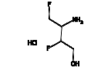 Cl.NC(CF)C(F)CO